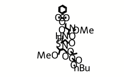 CCCCOC(=O)OC(C)OC(=O)C1=C(COC)CS[C@@H]2C(NC(=O)/C(=N\OC)C(=O)COS(=O)(=O)c3ccccc3)C(=O)N12